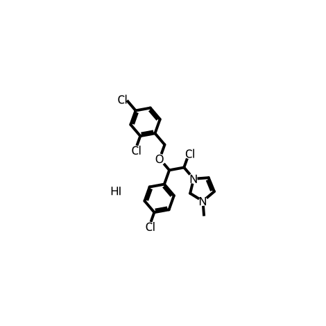 CN1C=CN(C(Cl)C(OCc2ccc(Cl)cc2Cl)c2ccc(Cl)cc2)C1.I